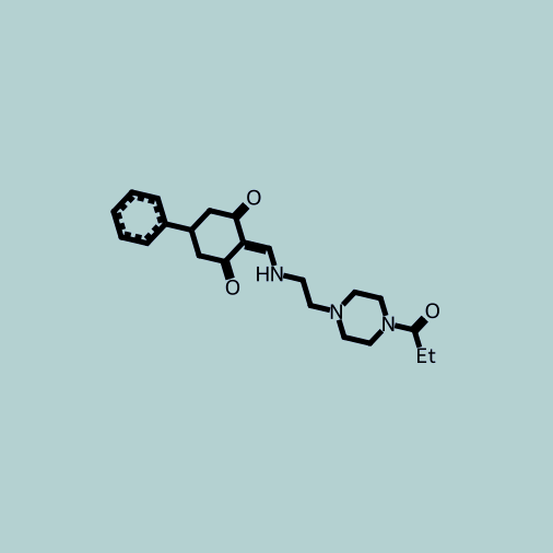 CCC(=O)N1CCN(CCNC=C2C(=O)CC(c3ccccc3)CC2=O)CC1